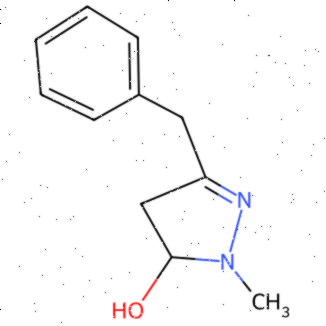 CN1N=C(Cc2ccccc2)CC1O